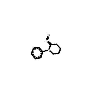 O=S=C1CCCCN1c1ccccc1